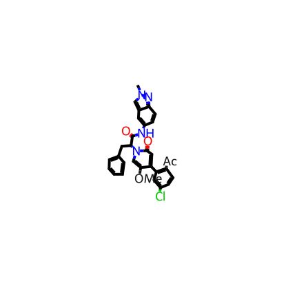 COc1cn(C(Cc2ccccc2)C(=O)Nc2ccc3nn(C)cc3c2)c(=O)cc1-c1cc(Cl)ccc1C(C)=O